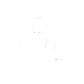 CC(C)(C)OC(=O)N1CC(c2ccccc2OCC(=O)O)C1